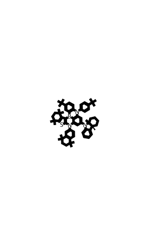 CC(C)(C)c1ccc(N2c3ccc(C(C)(C)C)cc3B3c4c2cc(N2c5ccccc5[C@@]5(C)CCCCC25C)cc4N(c2ccc4c(c2)C(C)(C)CCC4(C)C)c2sc4c(c23)C(C)(C)CCC4(C)C)cc1